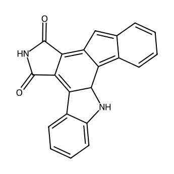 O=C1NC(=O)C2=C3c4ccccc4NC3C3=c4ccccc4=CC3=C12